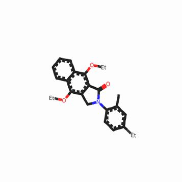 CCOc1c2c(c(OCC)c3ccccc13)C(=O)N(c1ccc(CC)cc1C)C2